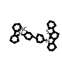 N#Cc1cc(-c2ccc(-n3c4ccccc4c4ccc5c6ccccc6sc5c43)cc2)ccc1-n1c2ccccc2c2ccccc21